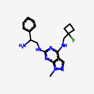 Cn1ncc2c(NCC3(F)CCC3)nc(NCC(N)c3ccccc3)nc21